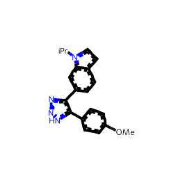 COc1ccc(-c2[nH]nnc2-c2ccc3ccn(C(C)C)c3c2)cc1